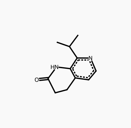 CC(C)c1nccc2c1NC(=O)CC2